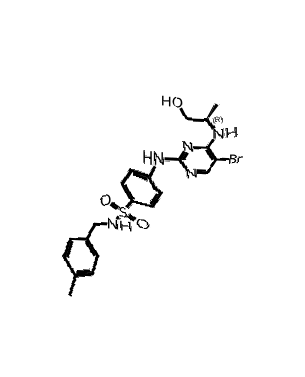 Cc1ccc(CNS(=O)(=O)c2ccc(Nc3ncc(Br)c(N[C@H](C)CO)n3)cc2)cc1